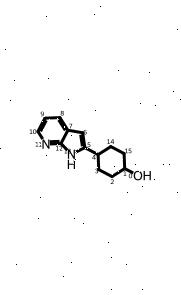 OC1CCC(c2cc3cccnc3[nH]2)CC1